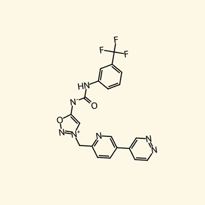 O=C([N-]c1c[n+](Cc2ccc(-c3ccnnc3)cn2)no1)Nc1cccc(C(F)(F)F)c1